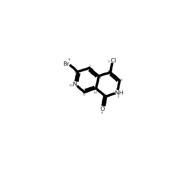 O=c1[nH]cc(Cl)c2cc(Br)ncc12